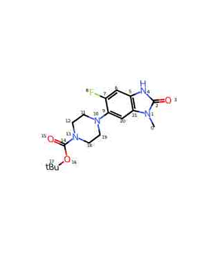 Cn1c(=O)[nH]c2cc(F)c(N3CCN(C(=O)OC(C)(C)C)CC3)cc21